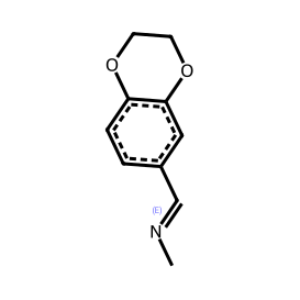 C/N=C/c1ccc2c(c1)OCCO2